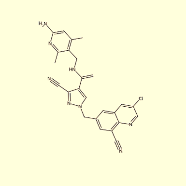 C=C(NCc1c(C)cc(N)nc1C)c1cn(Cc2cc(C#N)c3ncc(Cl)cc3c2)nc1C#N